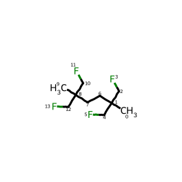 CC(CF)(CF)CCC(C)(CF)CF